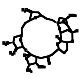 C=C1CC2CC[C@]34C[C@@H](OC)C(O3)[C@H]3CC(O4)[C@H]4OC(CCC4O3)CC(=O)CC3[C@H](CC4OC(CCC1O2)C[C@@H](C)C4=C)O[C@H](C)[C@@H]3OC